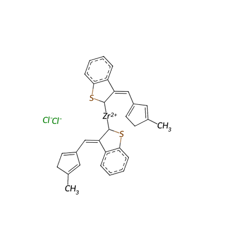 CC1=CC(C=C2c3ccccc3S[CH]2[Zr+2][CH]2Sc3ccccc3C2=CC2=CCC(C)=C2)=CC1.[Cl-].[Cl-]